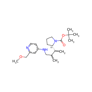 C=C(CNc1ccnc(COC)c1)C(=C)[C@@H]1CCCN1C(=O)OC(C)(C)C